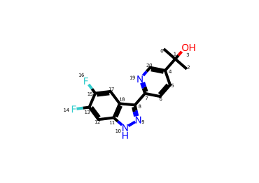 CC(C)(O)c1ccc(-c2n[nH]c3cc(F)c(F)cc23)nc1